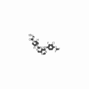 CC(C)(C)OC(=O)N1C[C@@H]2C[C@H]1CN2c1ncc2ncnc(Nc3ccc(OC(F)F)c(Cl)c3F)c2n1